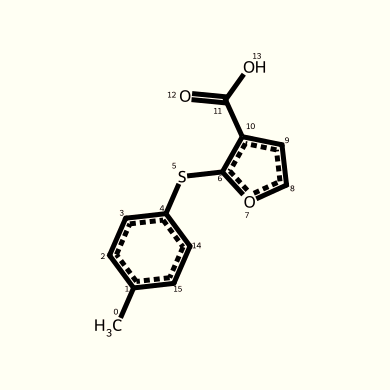 Cc1ccc(Sc2occc2C(=O)O)cc1